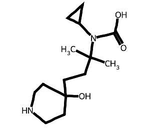 CC(C)(CCC1(O)CCNCC1)N(C(=O)O)C1CC1